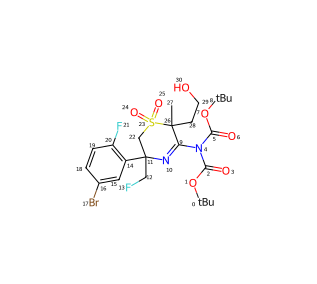 CC(C)(C)OC(=O)N(C(=O)OC(C)(C)C)C1=NC(CF)(c2cc(Br)ccc2F)CS(=O)(=O)C1(C)CCO